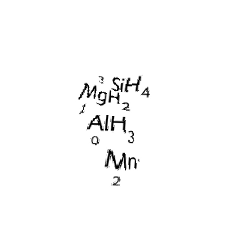 [AlH3].[MgH2].[Mn].[SiH4]